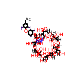 CC(=O)Cc1cc(I)c(Oc2cc(I)c(OCc3cn(CC4O[C@@H]5O[C@@H]6OC(CO)[C@H](O[C@H]7OC(CO)[C@H](O[C@H]8OC(CO)[C@H](O[C@@H]9C(CO)O[C@@H](O[C@@H]%10C(CO)O[C@H](O[C@H]4C(O)[C@@H]5O)[C@@H](O)C%10O)[C@@H](O)C9O)C(O)[C@H]8O)C(O)[C@H]7O)C(O)[C@H]6O)nn3)c(I)c2)c(I)c1